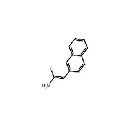 O=[N+]([O-])C(F)=Cc1ccc2ccccc2c1